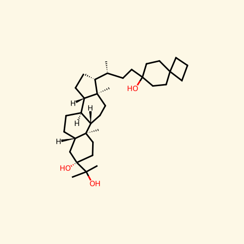 C[C@H](CCC1(O)CCC2(CCC2)CC1)[C@H]1CC[C@H]2[C@@H]3CC[C@H]4C[C@](O)(C(C)(C)O)CC[C@]4(C)[C@H]3CC[C@]12C